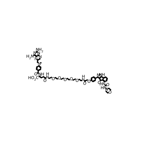 CN(Cc1cnc2nc(N)nc(N)c2n1)c1ccc(C(=O)N[C@@H](CCC(=O)NCCOCCOCCOCCOCCOCCNC(=O)COc2ccc(-c3n[nH]c4c3C(=O)c3c(NC(=O)NN5CCOCC5)cccc3-4)cc2)C(=O)O)cc1